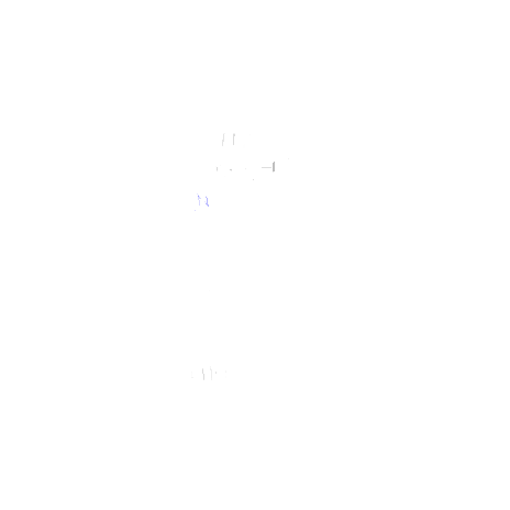 Cc1ccccc1C(N)(CCCCCCC=O)C(=O)O